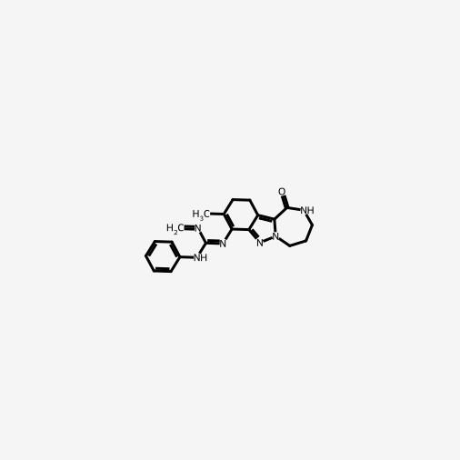 C=N/C(=N\C1=C(C)CCc2c1nn1c2C(=O)NCCC1)Nc1ccccc1